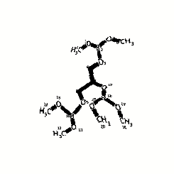 COB(OC)OCC(COB(OC)OC)OB(OC)OC